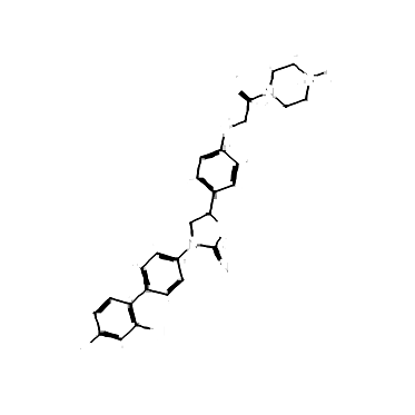 Cc1ccc(-c2ccc(N3CC(c4ccc(OCC(=O)N5CCN(C)CC5)cc4)OC3=N)cc2)c(C)c1